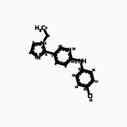 CCn1ccnc1-c1ccc(Nc2ccc(Cl)cc2)nc1